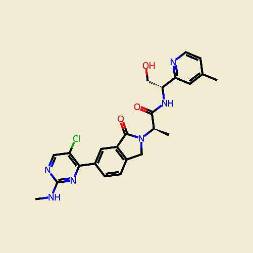 CNc1ncc(Cl)c(-c2ccc3c(c2)C(=O)N([C@H](C)C(=O)N[C@H](CO)c2cc(C)ccn2)C3)n1